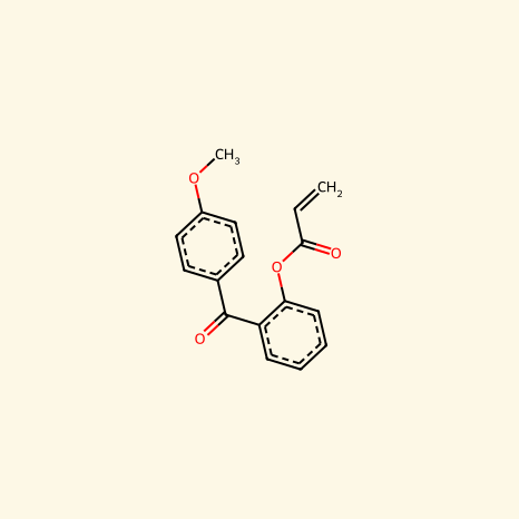 C=CC(=O)Oc1ccccc1C(=O)c1ccc(OC)cc1